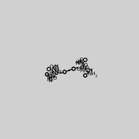 C=NS/C(NC(=O)[C@@H]1CC(OCc2ccc(C#Cc3ccc(CO[C@H]4C[C@@H](C(=O)Nc5snnc5-c5ccccc5)N(C(=O)[C@@H](NC(=O)[C@H](C)NC)C5CCCCC5)C4)cc3)cc2)CN1C(=O)[C@@H](NC(=O)[C@H](C)NC)C1CCCCC1)=C(\N)c1ccccc1